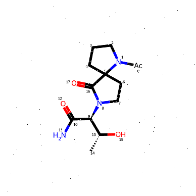 CC(=O)N1CCCC12CCN([C@H](C(N)=O)[C@@H](C)O)C2=O